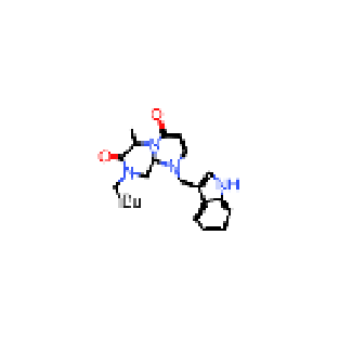 CCC(C)CN1CC2N(Cc3c[nH]c4ccccc34)CCC(=O)N2C(C)C1=O